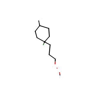 CCCCC1CCC(F)(CCCOOCC)CC1